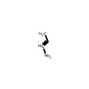 CC=[SH]N